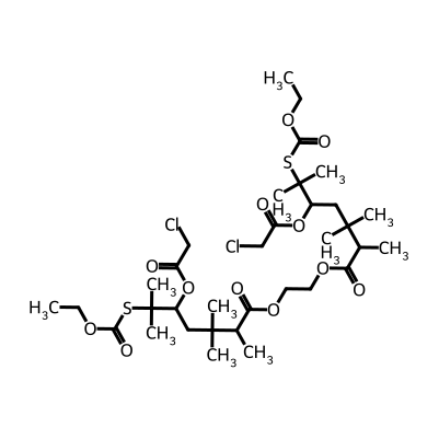 CCOC(=O)SC(C)(C)C(CC(C)(C)C(C)C(=O)OCCOC(=O)C(C)C(C)(C)CC(OC(=O)CCl)C(C)(C)SC(=O)OCC)OC(=O)CCl